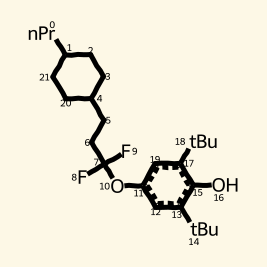 CCCC1CCC(CCC(F)(F)Oc2cc(C(C)(C)C)c(O)c(C(C)(C)C)c2)CC1